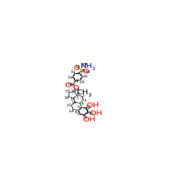 C[C@]12CCC3c4c(cc(O)c(O)c4O)CCC3C1CC[C@@H]2OC(=O)c1ccc(S(N)(=O)=O)cc1